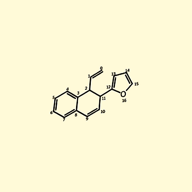 C=CC1c2ccccc2C=CC1c1ccco1